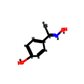 CC/C(=N\O)c1ccc(O)cc1